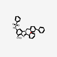 O=Cc1cc(NS(=O)(=O)c2ccccc2)cc2c1nc(-c1ccccc1)n2Cc1ccc(-c2ccccc2)cc1